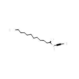 CC#CNC(=O)CCCCCCCCCCC